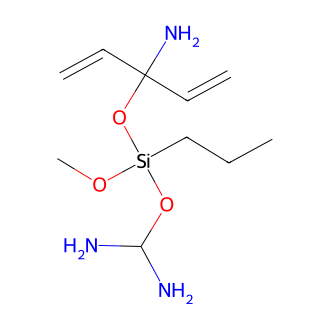 C=CC(N)(C=C)O[Si](CCC)(OC)OC(N)N